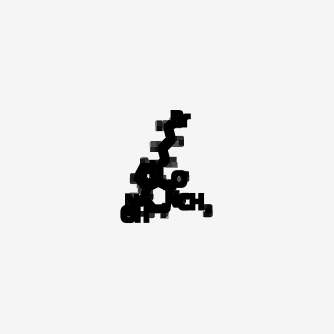 CN1CCC(=NO)c2ccn(CCCCBr)c2C1=O